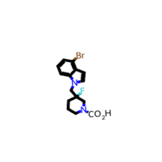 O=C(O)N1CCCC(F)(Cn2ccc3c(Br)cccc32)C1